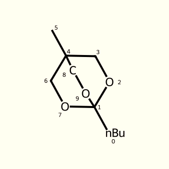 CCCCC12OCC(C)(CO1)CO2